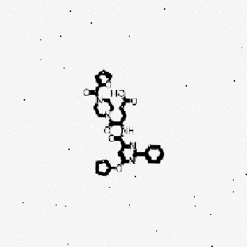 O=C(O)CCC(NC(=O)c1cc(OC2CCCC2)nc(-c2ccccc2)n1)C(=O)N1CCN(C(=O)c2ccco2)CC1